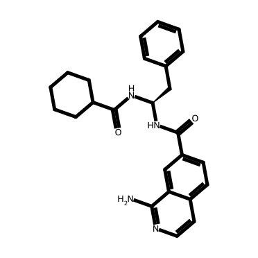 Nc1nccc2ccc(C(=O)N[C@H](Cc3ccccc3)NC(=O)C3CCCCC3)cc12